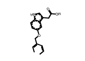 C/C=C\C(=C/C)COc1ccc2[nH]cc(CC(=O)O)c2c1